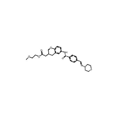 COCCOC(=O)CC1COc2ccc(NC(=O)c3ccc(C=NN4CCSCC4)cc3)cc2C1